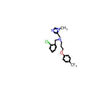 Cn1cncc1CN(CCCOc1ccc(C(F)(F)F)cc1)Cc1ccccc1Cl